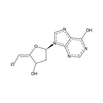 Oc1ncnc2c1ncn2[C@H]1CC(O)/C(=C\Cl)O1